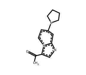 CC(=O)c1cnc2cc(N3CCCC3)ccn12